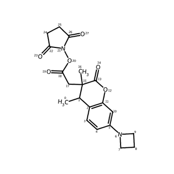 CC1c2ccc(N3CCC3)cc2OC(=O)C1(C)CC(=O)ON1C(=O)CCC1=O